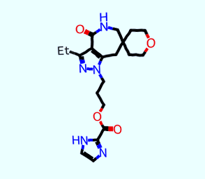 CCc1nn(CCCOC(=O)c2ncc[nH]2)c2c1C(=O)NCC1(CCOCC1)C2